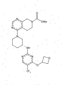 COC(=O)N1CCc2c(ncnc2N2CCC[C@@H](Nc3ncc(C(F)(F)F)c(OC4COC4)n3)C2)C1